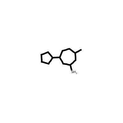 CC1CCC(C2CCCC2)CC([SiH3])C1